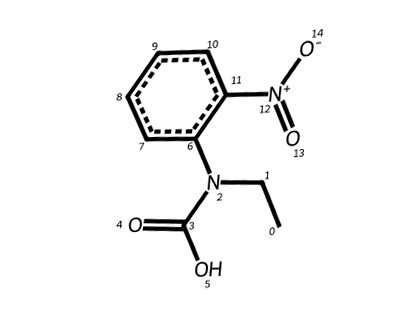 CCN(C(=O)O)c1ccccc1[N+](=O)[O-]